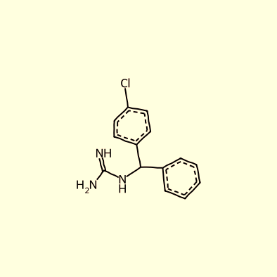 N=C(N)NC(c1ccccc1)c1ccc(Cl)cc1